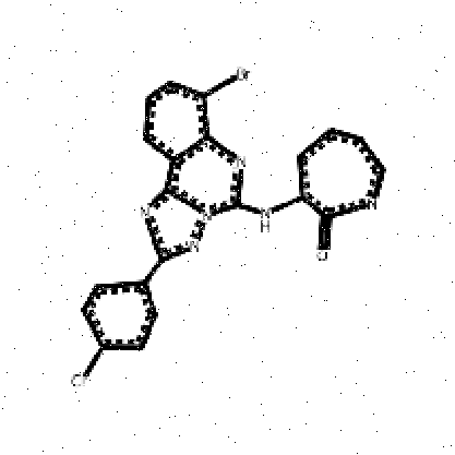 O=c1nccccc1Nc1nc2c(Br)cccc2c2nc(-c3ccc(Cl)cc3)nn12